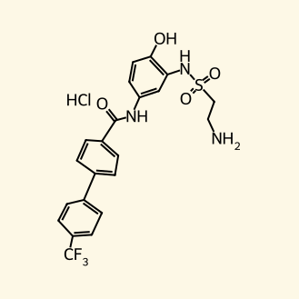 Cl.NCCS(=O)(=O)Nc1cc(NC(=O)c2ccc(-c3ccc(C(F)(F)F)cc3)cc2)ccc1O